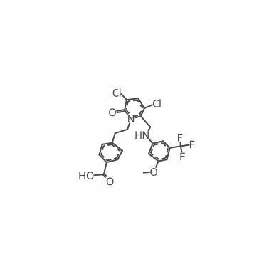 COc1cc(NCc2c(Cl)cc(Cl)c(=O)n2CCc2ccc(C(=O)O)cc2)cc(C(F)(F)F)c1